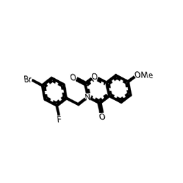 COc1ccc2c(=O)n(Cc3ccc(Br)cc3F)c(=O)oc2c1